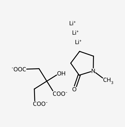 CN1CCCC1=O.O=C([O-])CC(O)(CC(=O)[O-])C(=O)[O-].[Li+].[Li+].[Li+]